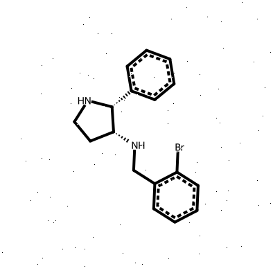 Brc1ccccc1CN[C@@H]1CCN[C@@H]1c1ccccc1